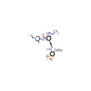 COc1cc(F)c(S(C)(=O)=O)cc1NCC#Cc1cc(C(=O)N[C@H]2CCN(CCF)C[C@@H]2C)c2ncn(CC(F)(F)F)c2c1